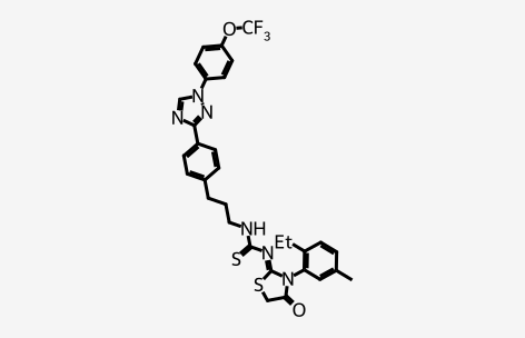 CCc1ccc(C)cc1N1C(=O)CS/C1=N\C(=S)NCCCc1ccc(-c2ncn(-c3ccc(OC(F)(F)F)cc3)n2)cc1